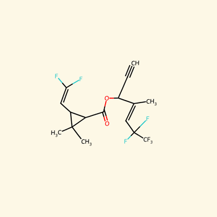 C#CC(OC(=O)C1C(C=C(F)F)C1(C)C)C(C)=CC(F)(F)C(F)(F)F